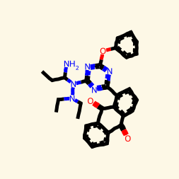 CCC(N)N(c1nc(Oc2ccccc2)nc(-c2cccc3c2C(=O)c2ccccc2C3=O)n1)N(CC)CC